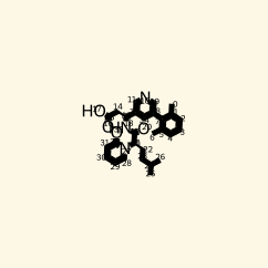 Cc1cccc(C)c1-c1cncc([C@H](CC(=O)O)NC(=O)[C@@H](CCC(C)C)n2ccccc2=O)c1